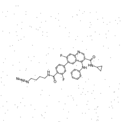 [N-]=[N+]=NCCCCNC(=O)c1ccc(-c2cc3c(Nc4ccccc4)c(C(=O)NC4CC4)cnc3cc2F)cc1F